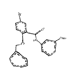 COc1cccc(NC(=O)c2cc(Br)ccc2OCc2ccccc2)c1